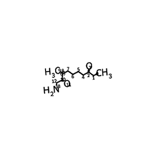 CCC(=O)CCCC[C@H](C)C(=O)CN